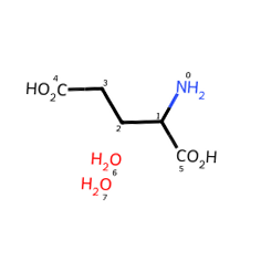 NC(CCC(=O)O)C(=O)O.O.O